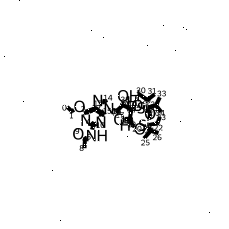 CCOc1nc(NC(C)=O)nc2c1ncn2[C@@H]1O[C@@H]2CO[Si](CC)(C(C)C)O[Si](C(C)C)(C(C)C)O[C@H]2[C@H]1O